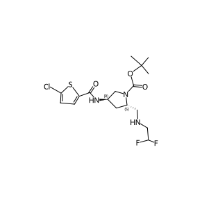 CC(C)(C)OC(=O)N1C[C@H](NC(=O)c2ccc(Cl)s2)C[C@H]1CNCC(F)F